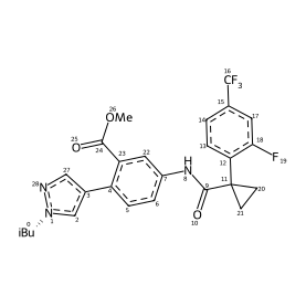 CC[C@@H](C)n1cc(-c2ccc(NC(=O)C3(c4ccc(C(F)(F)F)cc4F)CC3)cc2C(=O)OC)cn1